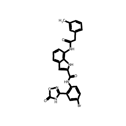 Cc1cccc(CC(=O)Nc2cccc3cc(C(=O)Nc4ccc(Br)cc4-c4noc(=O)[nH]4)[nH]c23)c1